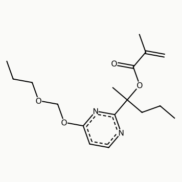 C=C(C)C(=O)OC(C)(CCC)c1nccc(OCOCCC)n1